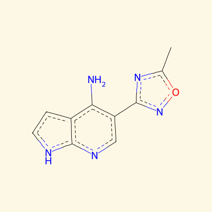 Cc1nc(-c2cnc3[nH]ccc3c2N)no1